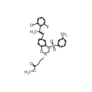 COC(=O)CCC[C@H]1CN(S(=O)(=O)c2cccc(C)c2)c2cc(/C=C(\C)c3c(F)cccc3Cl)ccc2O1